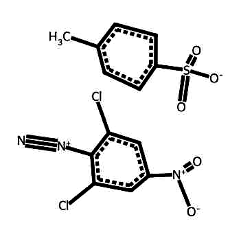 Cc1ccc(S(=O)(=O)[O-])cc1.N#[N+]c1c(Cl)cc([N+](=O)[O-])cc1Cl